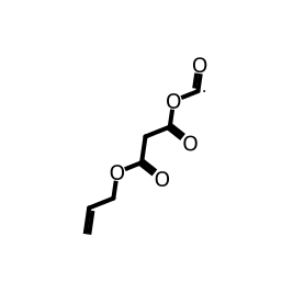 C=CCOC(=O)CC(=O)O[C]=O